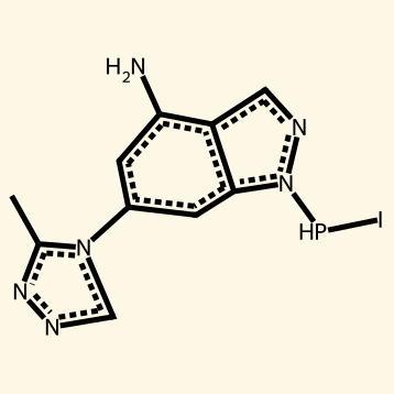 Cc1nncn1-c1cc(N)c2cnn(PI)c2c1